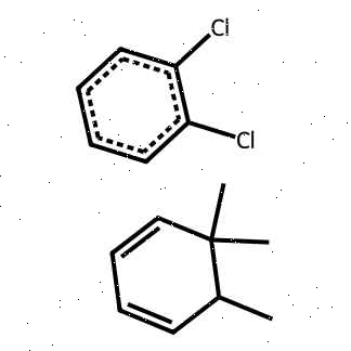 CC1C=CC=CC1(C)C.Clc1ccccc1Cl